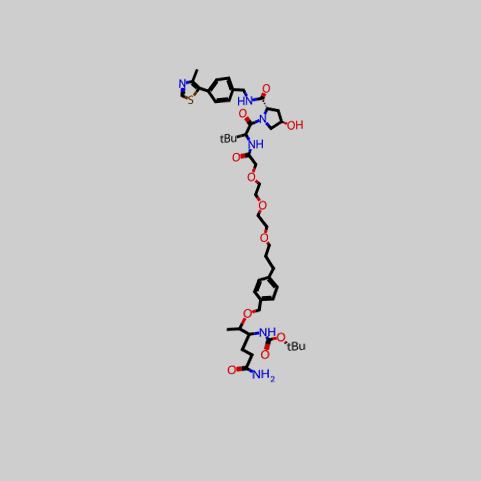 Cc1ncsc1-c1ccc(CNC(=O)[C@@H]2C[C@@H](O)CN2C(=O)C(NC(=O)COCCOCCOCCCc2ccc(COC(C)C(CCC(N)=O)NC(=O)OC(C)(C)C)cc2)C(C)(C)C)cc1